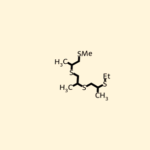 CCSC(C)CSC(C)CSC(C)CSC